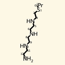 CC(C)SCCNCCNCCNCCN